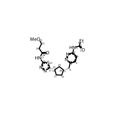 CCC(=O)Nc1ccc(C[C@@H]2CC[C@H](c3nnc(NC(=O)CCOC)s3)C2)nn1